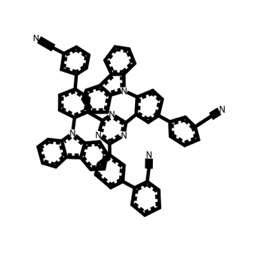 N#Cc1cccc(-c2ccc(-n3c4ccccc4c4ccccc43)c(-c3nc(-c4cccc(-c5ccccc5C#N)c4)nc(-c4cc(-c5cccc(C#N)c5)ccc4-n4c5ccccc5c5ccccc54)n3)c2)c1